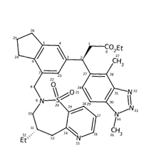 CCOC(=O)C[C@H](c1cc2c(c(CN3C[C@@H](CC)Cc4ncccc4S3(=O)=O)c1)CCC2)c1ccc2c(nnn2C)c1C